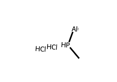 C[PH][Al].Cl.Cl